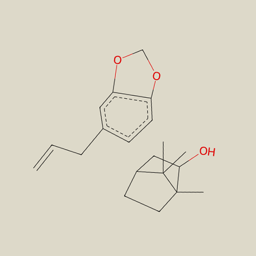 C=CCc1ccc2c(c1)OCO2.CC1(C)C2CCC1(C)C(O)C2